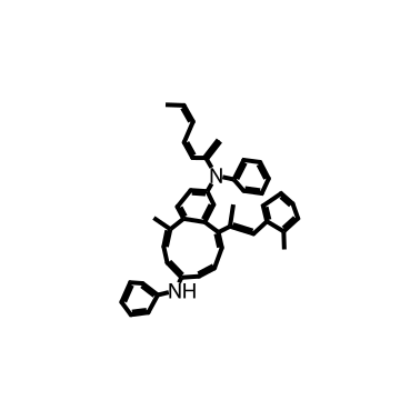 C=C(/C=C\C=C/C)N(c1ccccc1)c1ccc2c(C)ccc(Nc3ccccc3)cccc(/C(C)=C/c3ccccc3C)c2c1